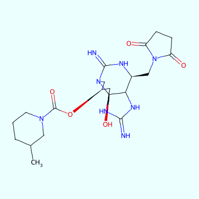 CC1CCCN(C(=O)O[C@H]2CN3C(=N)N[C@@H](CN4C(=O)CCC4=O)C4NC(=N)NC43[C@@H]2O)C1